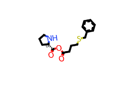 O=C(CCCSCc1ccccc1)OC(=O)[C@@H]1CCCN1